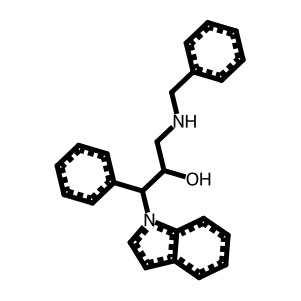 OC(CNCc1ccccc1)C(c1ccccc1)n1ccc2ccccc21